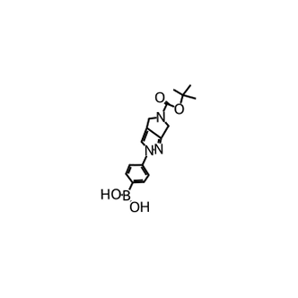 CC(C)(C)OC(=O)N1Cc2cn(-c3ccc(B(O)O)cc3)nc2C1